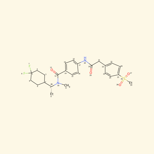 CC[C@H](C1CCC(F)(F)CC1)N(C)C(=O)c1ccc(NC(=O)Cc2ccc(S(=O)(=O)CC)cc2)cc1